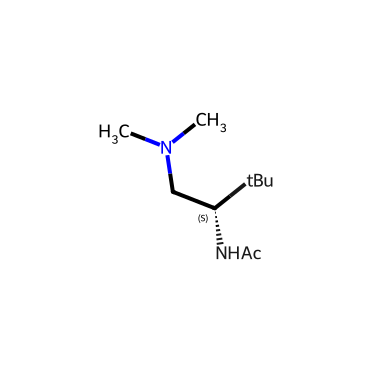 CC(=O)N[C@H](CN(C)C)C(C)(C)C